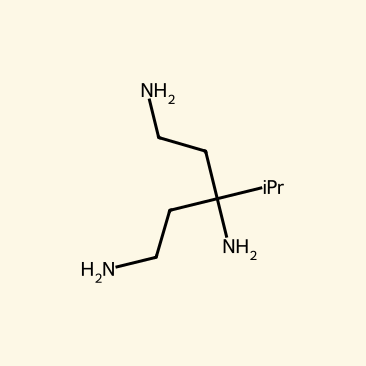 CC(C)C(N)(CCN)CCN